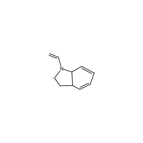 C=CN1[C]CC2C=CC=CC21